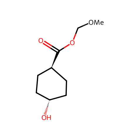 COCOC(=O)[C@H]1CC[C@H](O)CC1